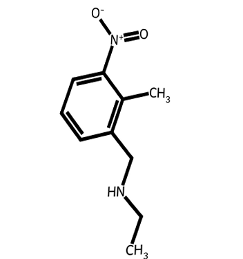 CCNCc1cccc([N+](=O)[O-])c1C